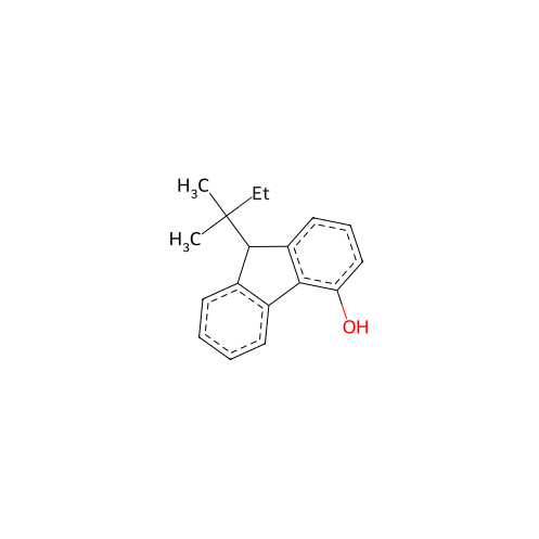 CCC(C)(C)C1c2ccccc2-c2c(O)cccc21